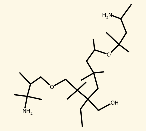 CCC(CO)(CC(C)(C)CC(C)OC(C)(C)CC(C)N)C(C)(C)COCC(C)C(C)(C)N